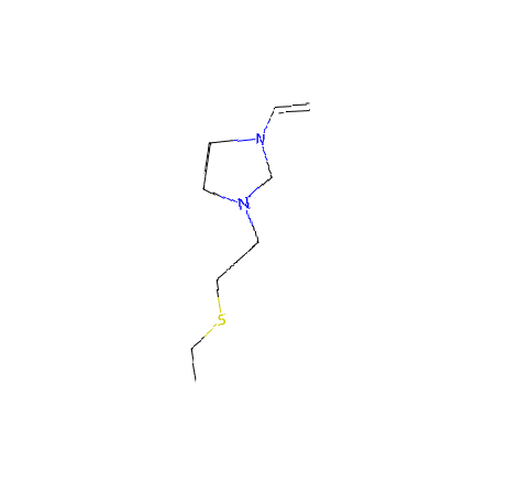 C=CN1CCN(CCSCC)C1